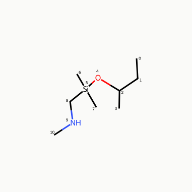 CCC(C)O[Si](C)(C)CNC